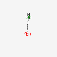 O=C(O)CCCCCCCCCCCCCCCCCCCC[SiH](Cl)Cl